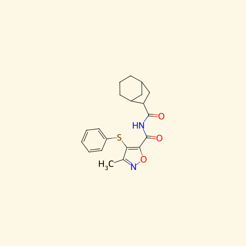 Cc1noc(C(=O)NC(=O)C2CC3CCCC2C3)c1Sc1ccccc1